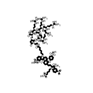 CN[C@H](CCCNC(=N)N)C(=O)N[C@H](CCCNC(=N)N)C(=O)N[C@H](CCCNC(=N)N)C(=O)N[C@H](CCCNC(=N)N)C(=O)N[C@H](CCCNC(=N)N)C(=O)N[C@H](CSC1CC(=O)N(CCNC(=O)CCCCCN2/C(=C/C=C3\CCCC(/C=C/C4=[N+](CCCCS(=O)(=O)O)c5ccc([SH](=O)=O)cc5C4(C)C)=C3Oc3ccc(S(=O)(=O)O)cc3)C(C)(C)c3cc(S(=O)(=O)O)ccc32)C1=O)C(N)=O